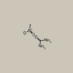 C[N+](=O)[O-].NC(N)=O